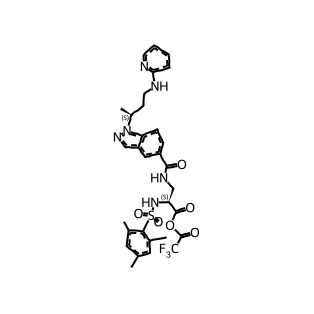 Cc1cc(C)c(S(=O)(=O)N[C@@H](CNC(=O)c2ccc3c(cnn3[C@@H](C)CCNc3ccccn3)c2)C(=O)OC(=O)C(F)(F)F)c(C)c1